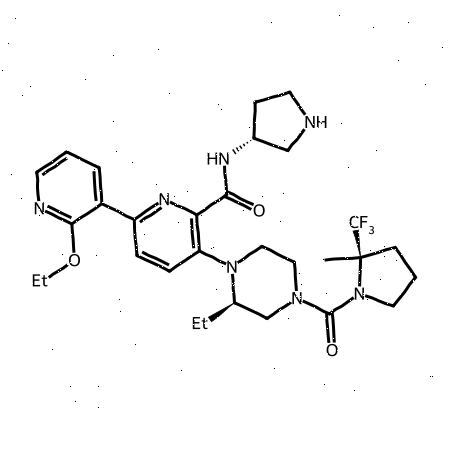 CCOc1ncccc1-c1ccc(N2CCN(C(=O)N3CCC[C@]3(C)C(F)(F)F)C[C@H]2CC)c(C(=O)N[C@@H]2CCNC2)n1